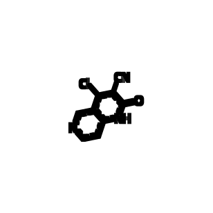 N#Cc1c(Cl)c2cnccc2[nH]c1=O